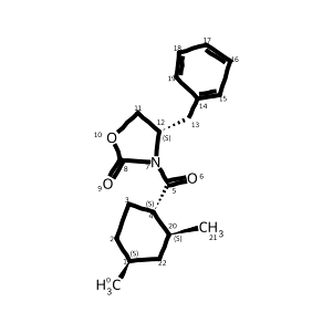 C[C@H]1CC[C@H](C(=O)N2C(=O)OC[C@@H]2Cc2ccccc2)[C@@H](C)C1